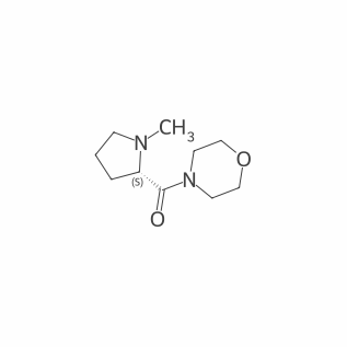 CN1CCC[C@H]1C(=O)N1CCOCC1